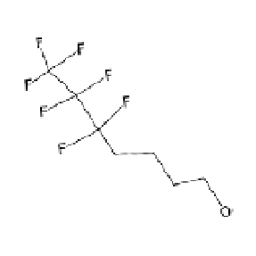 [O]CCCCC(F)(F)C(F)(F)C(F)(F)F